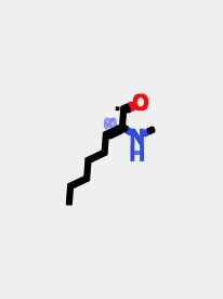 CCCCC/C=C(/[C]=O)NC